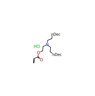 C=CC(=O)OCCN(CCCCCCCCCCCC)CCCCCCCCCCCC.Cl